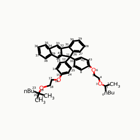 CCCCC(C)OCCOc1ccc(C2(c3ccc(OCCOC(C)(C)CCCC)cc3)c3ccccc3-c3cc4ccccc4cc32)cc1